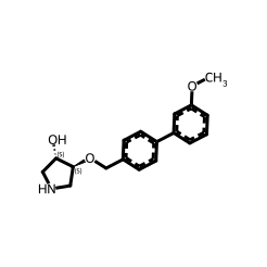 COc1cccc(-c2ccc(CO[C@H]3CNC[C@@H]3O)cc2)c1